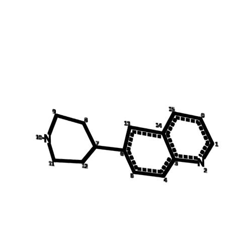 c1cnc2ccc(C3CC[N]CC3)cc2c1